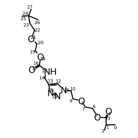 CC(C)C(=O)OCCOCCn1cc(CNC(=O)OCCOCCC(C)(C)C)nn1